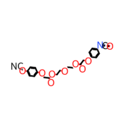 N#COc1ccc(OCC(=O)OCCOCCOC(=O)COc2ccc(N=C=O)cc2)cc1